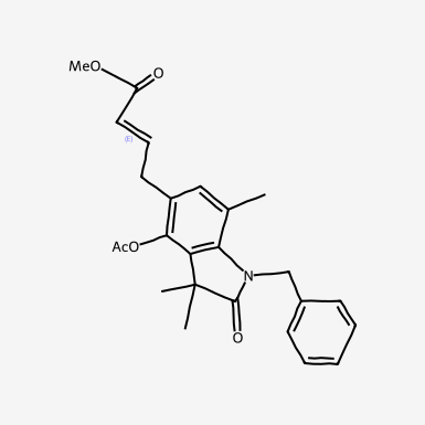 COC(=O)/C=C/Cc1cc(C)c2c(c1OC(C)=O)C(C)(C)C(=O)N2Cc1ccccc1